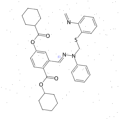 C=Nc1ccccc1SCN(/N=C/c1cc(OC(=O)C2CCCCC2)ccc1C(=O)OC1CCCCC1)c1ccccc1